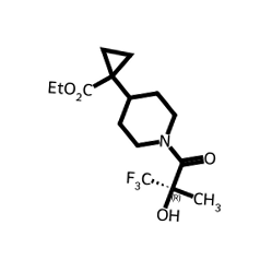 CCOC(=O)C1(C2CCN(C(=O)[C@@](C)(O)C(F)(F)F)CC2)CC1